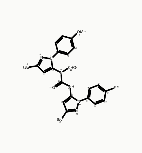 COc1ccc(-n2nc(C(C)(C)C)cc2N([C]=O)C(=O)Nc2cc(C(C)(C)C)nn2-c2ccc(F)cc2)cc1